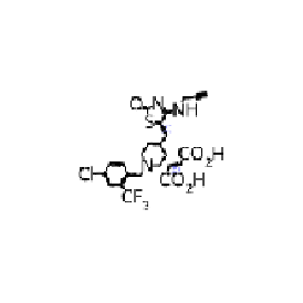 C#CCNC1=NC(=O)S/C1=C\C1CCN(Cc2ccc(Cl)cc2C(F)(F)F)CC1.O=C(O)/C=C/C(=O)O